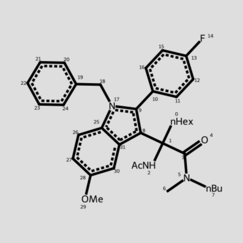 CCCCCCC(NC(C)=O)(C(=O)N(C)CCCC)c1c(-c2ccc(F)cc2)n(Cc2ccccc2)c2ccc(OC)cc12